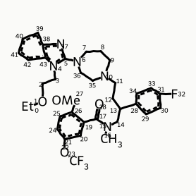 CCOCCn1c(N2CCCN(CCC(CN(C)C(=O)c3cc(OC(F)(F)F)ccc3OC)c3ccc(F)cc3)CC2)nc2ccccc21